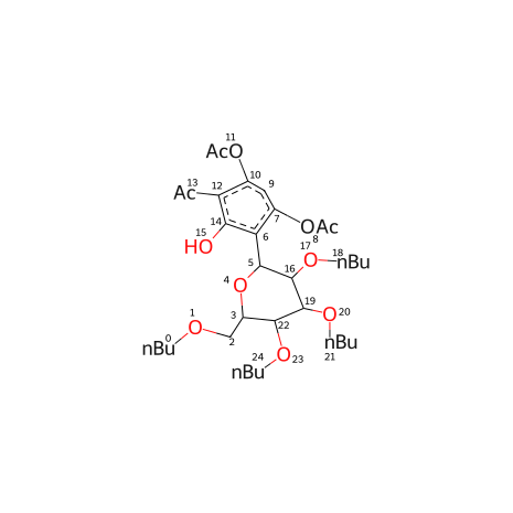 CCCCOCC1OC(c2c(OC(C)=O)cc(OC(C)=O)c(C(C)=O)c2O)C(OCCCC)C(OCCCC)C1OCCCC